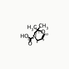 CC1(C)CN(C(=O)O)CC=CO1